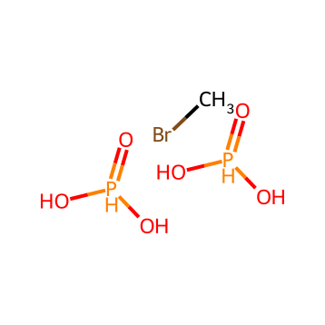 CBr.O=[PH](O)O.O=[PH](O)O